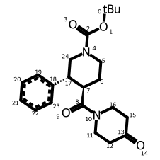 CC(C)(C)OC(=O)N1CC[C@@H](C(=O)N2CCC(=O)CC2)[C@H](c2ccccc2)C1